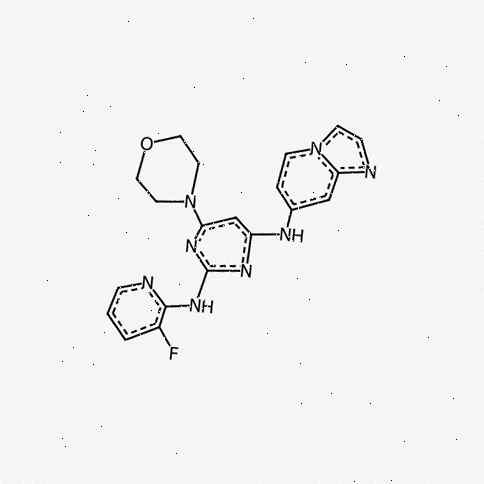 Fc1cccnc1Nc1nc(Nc2ccn3ccnc3c2)cc(N2CCOCC2)n1